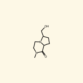 CN1CCN2C(CO)CCC2C1=O